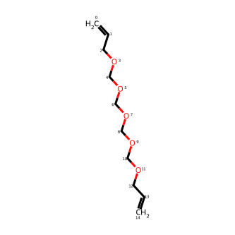 C=CCOCOCOCOCOCC=C